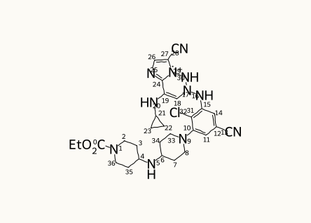 CCOC(=O)N1CCC(NC2CCN(c3cc(C#N)cc(NN4C=C(NC5CC5)C5=NC=C(C#N)[N+]5N4)c3Cl)CC2)CC1